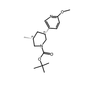 COc1ccc([C@H]2C[C@@H](C)CN(C(=O)OC(C)(C)C)C2)cn1